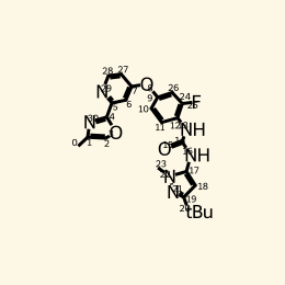 Cc1coc(-c2cc(Oc3ccc(NC(=O)Nc4cc(C(C)(C)C)nn4C)c(F)c3)ccn2)n1